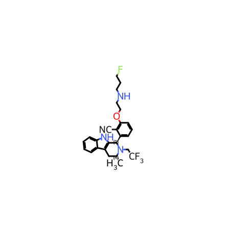 C[C@@H]1Cc2c([nH]c3ccccc23)[C@@H](c2cccc(OCCNCCCF)c2C#N)N1CC(F)(F)F